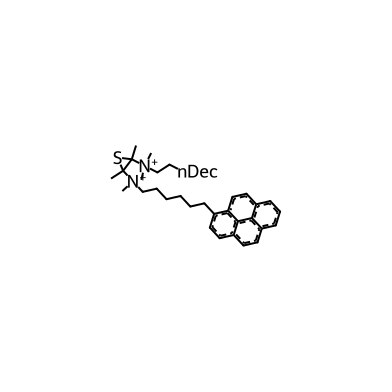 CCCCCCCCCCCC[N+](C)(C)C1(C)SC1(C)[N+](C)(C)CCCCCCc1ccc2ccc3cccc4ccc1c2c34